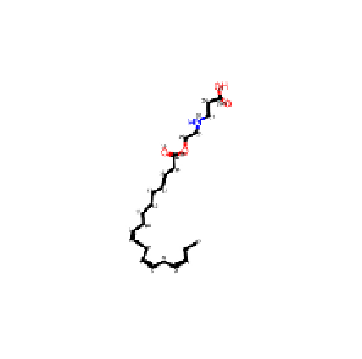 CC/C=C\C/C=C\C/C=C\CCCCCCCC(=O)OCCNCCC(=O)O